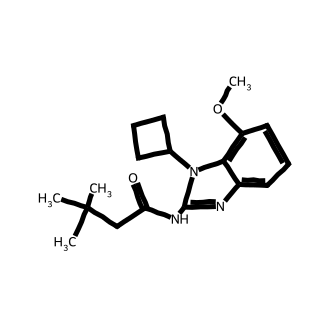 COc1cccc2nc(NC(=O)CC(C)(C)C)n(C3CCC3)c12